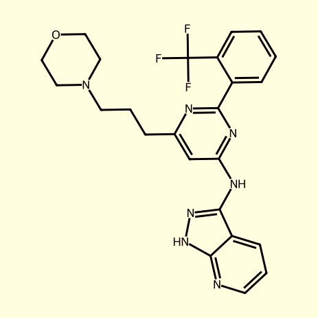 FC(F)(F)c1ccccc1-c1nc(CCCN2CCOCC2)cc(Nc2n[nH]c3ncccc23)n1